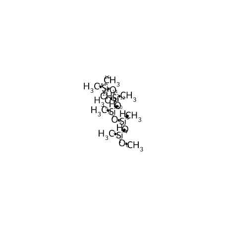 CO[SiH](C)O[SiH](C)O[SiH](C)O[Si](C)(C)O[Si](C)(C)C